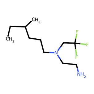 CCC(C)CCCN(CCN)CC(F)(F)F